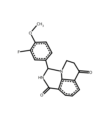 COc1ccc(C2NC(=O)c3cccc4c3N2CCC4=O)cc1F